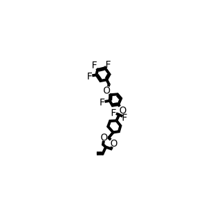 C=CC1COC(C2CCC(C(F)(F)Oc3ccc(OCc4cc(F)c(F)c(F)c4)c(F)c3)CC2)OC1